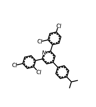 CC(C)c1ccc(-c2cc(-c3ccc(Cl)cc3Cl)nc(-c3ccc(Cl)cc3Cl)c2)cc1